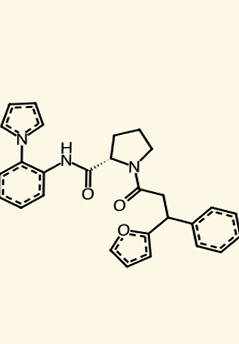 O=C(Nc1ccccc1-n1cccc1)[C@@H]1CCCN1C(=O)CC(c1ccccc1)c1ccco1